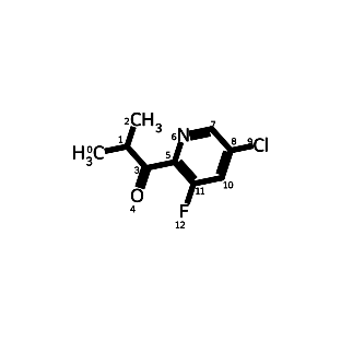 CC(C)C(=O)c1ncc(Cl)cc1F